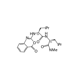 CNC(=O)[C@H](CC(C)C)NC(=O)[C@H](CC(C)C)Nc1nc2ccccc2c(=O)o1